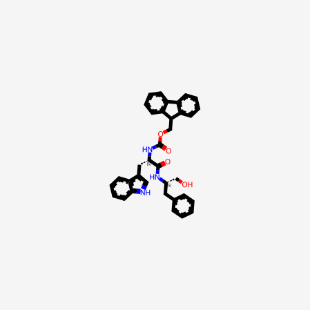 O=C(N[C@@H](Cc1c[nH]c2ccccc12)C(=O)N[C@H](CO)Cc1ccccc1)OCC1c2ccccc2-c2ccccc21